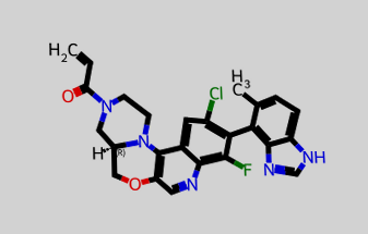 C=CC(=O)N1CCN2c3c(cnc4c(F)c(-c5c(C)ccc6[nH]cnc56)c(Cl)cc34)OC[C@H]2C1